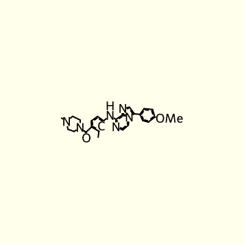 COc1ccc(-c2cnc3c(Nc4ccc(C(=O)N5CCN(C)CC5)c(C)c4)nccn23)cc1